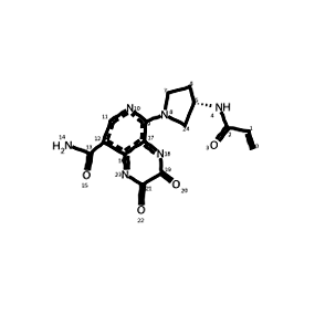 C=CC(=O)N[C@H]1CCN(c2ncc(C(N)=O)c3c2=NC(=O)C(=O)N=3)C1